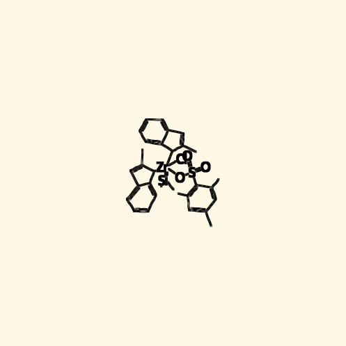 CC1=Cc2ccccc2[CH]1[Zr]([Cl])([O]S(=O)(=O)c1c(C)cc(C)cc1C)([CH]1C(C)=Cc2ccccc21)=[Si](C)C